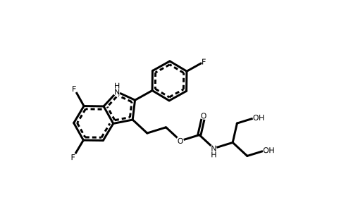 O=C(NC(CO)CO)OCCc1c(-c2ccc(F)cc2)[nH]c2c(F)cc(F)cc12